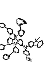 CC(C)(C)c1ccc(N(c2ccc3c(c2)-c2ccccc2C3(C)C)c2ccc3c(c2)N(c2cccc(-c4ccccc4)c2)c2cc(-c4ccccc4)cc4c2B3N(c2cccc(-c3ccccc3)c2)c2ccc(-c3ccccc3)cc2-4)cc1